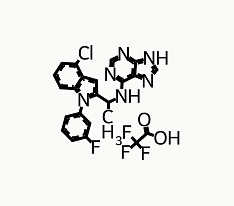 CC(Nc1ncnc2[nH]cnc12)c1cc2c(Cl)cccc2n1-c1cccc(F)c1.O=C(O)C(F)(F)F